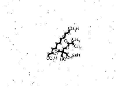 C=C(C)C(=O)OCC(CO)(CO)CO.O=C(O)CCCCCCCCCCC(=O)O.[NaH]